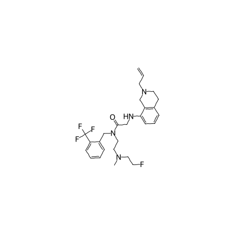 C=CCN1CCc2cccc(NCC(=O)N(CCN(C)CCF)Cc3ccccc3C(F)(F)F)c2C1